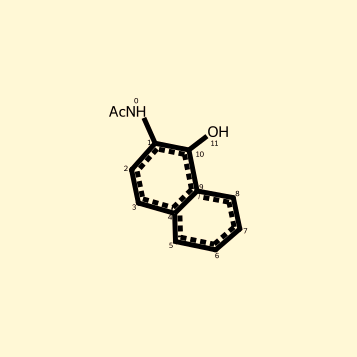 CC(=O)Nc1ccc2ccccc2c1O